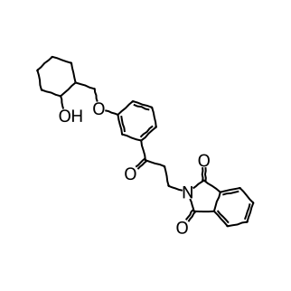 O=C(CCN1C(=O)c2ccccc2C1=O)c1cccc(OCC2CCCCC2O)c1